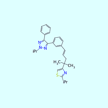 CC(C)c1nc(C(C)(C)C/C=C/c2cccc(-c3nn(C(C)C)nc3-c3ccccc3)c2)cs1